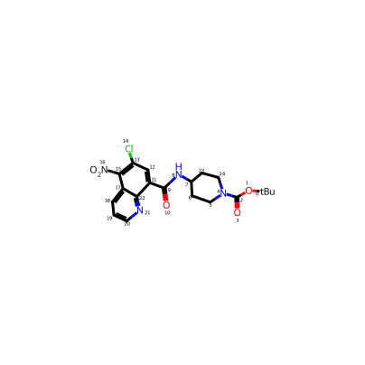 CC(C)(C)OC(=O)N1CCC(NC(=O)c2cc(Cl)c([N+](=O)[O-])c3cccnc23)CC1